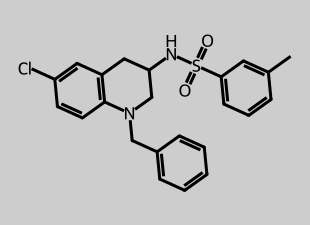 Cc1cccc(S(=O)(=O)NC2Cc3cc(Cl)ccc3N(Cc3ccccc3)C2)c1